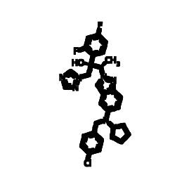 C[C@@H](n1cc2cc(N(Cc3ccc(Cl)cc3)C3CCCC3)ccc2n1)[C@](O)(Cn1cncn1)c1ccc(F)cc1F